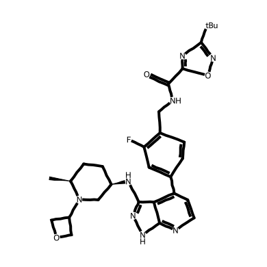 C[C@H]1CC[C@@H](Nc2n[nH]c3nccc(-c4ccc(CNC(=O)c5nc(C(C)(C)C)no5)c(F)c4)c23)CN1C1COC1